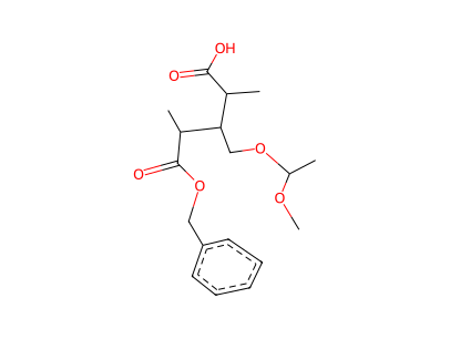 COC(C)OCC(C(C)C(=O)O)C(C)C(=O)OCc1ccccc1